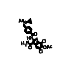 CC(=O)Oc1c(Cl)cc2c(C(N)=O)c(NC(=O)c3ccc(CN(C(C)=O)C4CC4)cc3)sc2c1Cl